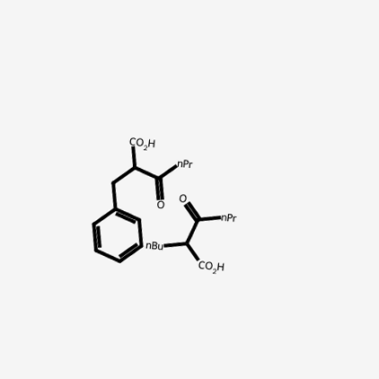 CCCC(=O)C(Cc1ccccc1)C(=O)O.CCCCC(C(=O)O)C(=O)CCC